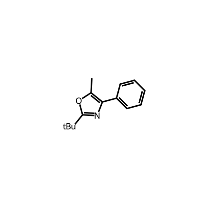 Cc1oc(C(C)(C)C)nc1-c1ccccc1